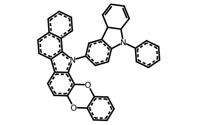 C1=CC2c3cc(-n4c5c6c(ccc5c5ccc7ccccc7c54)Oc4ccccc4O6)ccc3N(c3ccccc3)C2C=C1